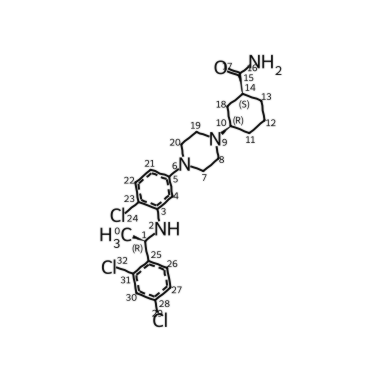 C[C@@H](Nc1cc(N2CCN([C@@H]3CCC[C@H](C(N)=O)C3)CC2)ccc1Cl)c1ccc(Cl)cc1Cl